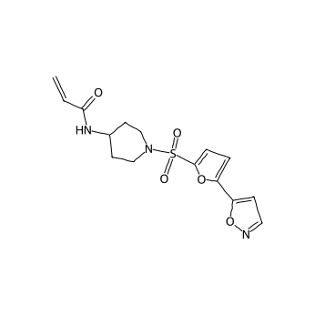 C=CC(=O)NC1CCN(S(=O)(=O)c2ccc(-c3ccno3)o2)CC1